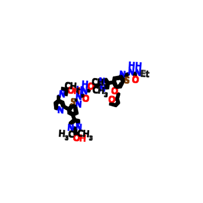 CCNC(=O)Nc1nc2cc(-c3cnc(C(C)(C)OCNC(=O)Nc4nc5cc(-c6cnc(C(C)(C)O)nc6)cc(-c6cc(CN7CC(C)(O)C7)ccn6)c5s4)nc3)c(OCC3CCCO3)cc2s1